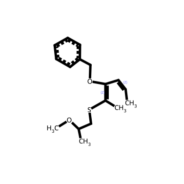 C/C=C\C(OCc1ccccc1)=C(/C)SCC(C)OC